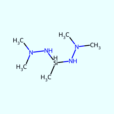 CN(C)N[SiH](C)NN(C)C